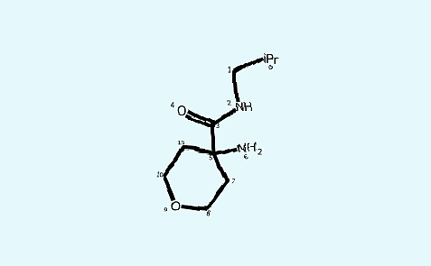 CC(C)CNC(=O)C1(N)CCOCC1